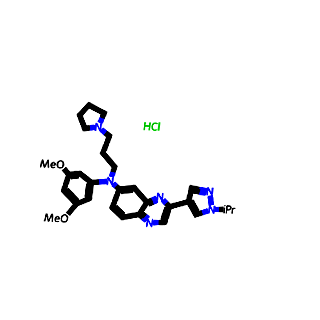 COc1cc(OC)cc(N(CCCN2CCCC2)c2ccc3ncc(-c4cnn(C(C)C)c4)nc3c2)c1.Cl